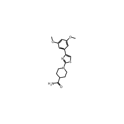 COc1cc(OC)cc(-c2csc(N3CCC(C(N)=O)CC3)n2)c1